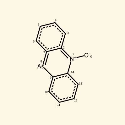 [O-][N+]1=c2ccccc2=[As]c2ccccc21